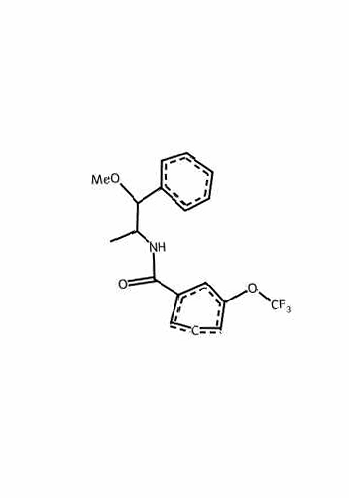 COC(c1ccccc1)C(C)NC(=O)c1cccc(OC(F)(F)F)c1